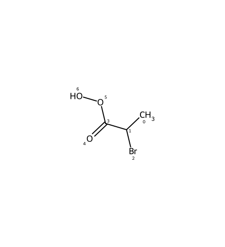 CC(Br)C(=O)OO